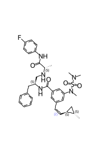 C[C@H](NC[C@H](Cc1ccccc1)NC(=O)c1cc(/C=C\[C@H]2C[C@@H]2C)cc(N(C)S(=O)(=O)N(C)C)c1)C(=O)Nc1ccc(F)cc1